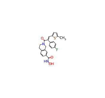 Cc1ccc(C=C(C(=O)N2CCc3ccc(C(=O)NO)cc3C2)c2ccc(F)cc2)s1